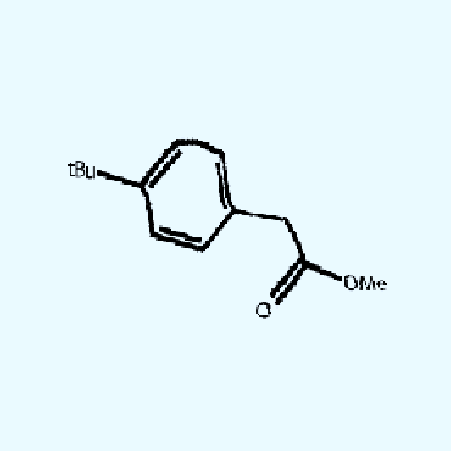 [CH2]OC(=O)Cc1ccc(C(C)(C)C)cc1